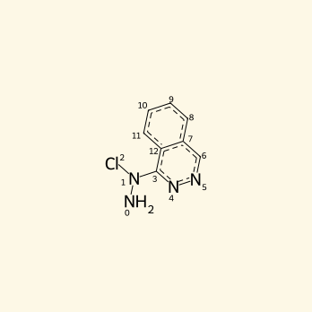 NN(Cl)c1nncc2ccccc12